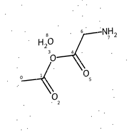 CC(=O)OC(=O)CN.O